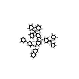 c1ccc(-c2ccc(N(c3ccc4ccccc4c3)c3ccc4c(c3)c3cc(C5(c6ccccc6)c6ccccc6-c6ccccc65)ccc3n4-c3ccc(N(c4ccccc4)c4ccccc4)cc3)cc2)cc1